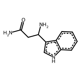 NC(=O)CC(N)c1c[nH]c2ccccc12